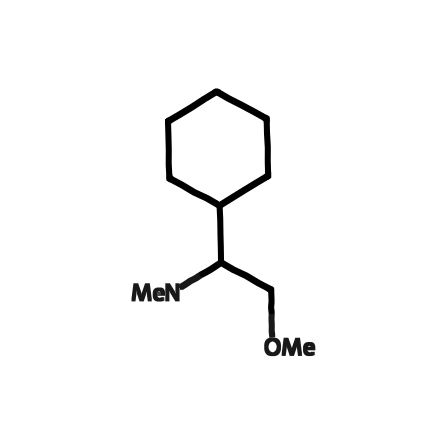 CNC(COC)C1CCCCC1